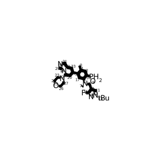 Cc1cc(P)c(N(C)C(=O)c2cn(C(C)(C)C)nc2F)cc1-c1cc(N2CCOCC2)n2cncc2c1